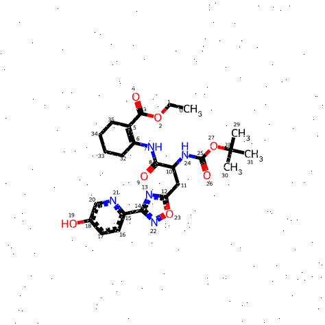 CCOC(=O)C1=C(NC(=O)C(Cc2nc(-c3ccc(O)cn3)no2)NC(=O)OC(C)(C)C)CCCC1